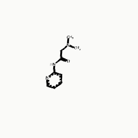 CN(C)CC(=O)Nc1c[c]ccn1